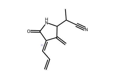 C=C/C=C1\C(=C)C(C(C)C#N)NC1=O